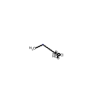 CCCCCCCC/C=C\CCCCCCCCCCCC(=O)Nc1ccc(Cl)cc1C(=O)O